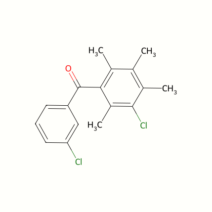 Cc1c(C)c(Cl)c(C)c(C(=O)c2cccc(Cl)c2)c1C